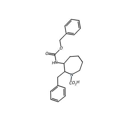 O=C(NC1CCCCN(C(=O)O)C1Cc1ccccc1)OCc1ccccc1